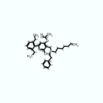 CCCCCCCN(CCc1ccccc1)Cc1c(OC(C)C)cc(-c2c(CC)cccc2CC)nc1C